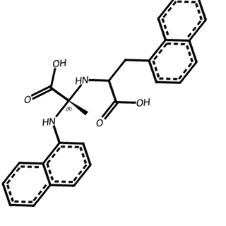 C[C@](Nc1cccc2ccccc12)(NC(Cc1cccc2ccccc12)C(=O)O)C(=O)O